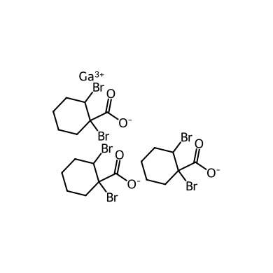 O=C([O-])C1(Br)CCCCC1Br.O=C([O-])C1(Br)CCCCC1Br.O=C([O-])C1(Br)CCCCC1Br.[Ga+3]